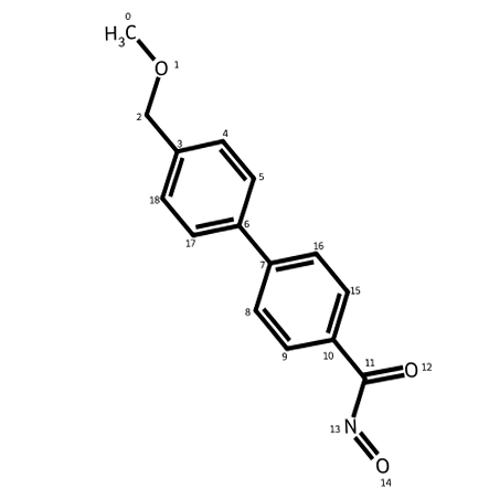 COCc1ccc(-c2ccc(C(=O)N=O)cc2)cc1